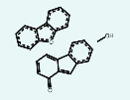 CO.O=C1C=CC=C2C1=Cc1ccccc12.c1ccc2c(c1)oc1ccccc12